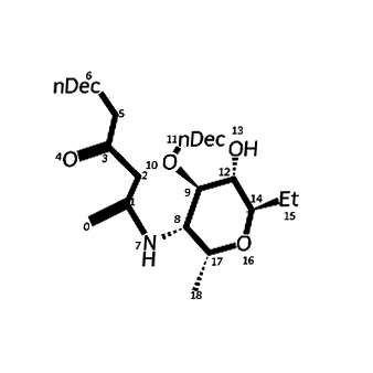 C=C(CC(=O)CCCCCCCCCCC)N[C@@H]1[C@@H](OCCCCCCCCCC)[C@H](O)[C@@H](CC)O[C@@H]1C